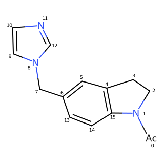 CC(=O)N1CCc2cc(Cn3ccnc3)ccc21